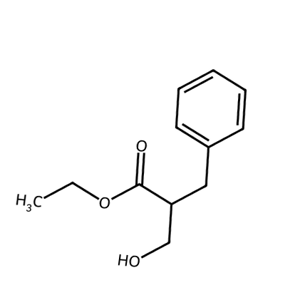 CCOC(=O)C(CO)Cc1ccccc1